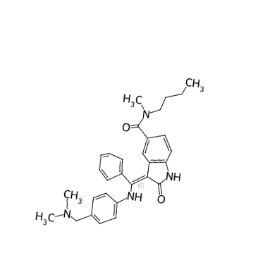 CCCCN(C)C(=O)c1ccc2c(c1)/C(=C(/Nc1ccc(CN(C)C)cc1)c1ccccc1)C(=O)N2